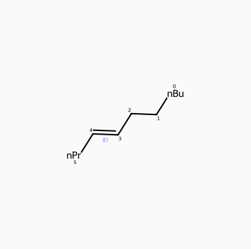 C[CH]CCCC/C=C/CCC